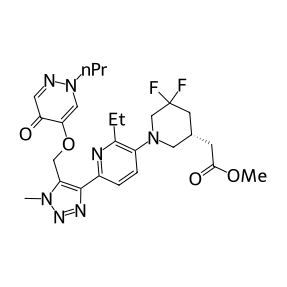 CCCn1cc(OCc2c(-c3ccc(N4C[C@@H](CC(=O)OC)CC(F)(F)C4)c(CC)n3)nnn2C)c(=O)cn1